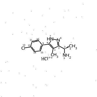 Cc1c([C@@H](C)N)n[nH]c1-c1ccc(Cl)cc1.Cl